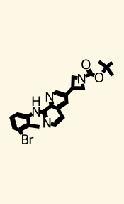 Cc1c(Br)cccc1Nc1nccc2cc(C3CN(C(=O)OC(C)(C)C)C3)cnc12